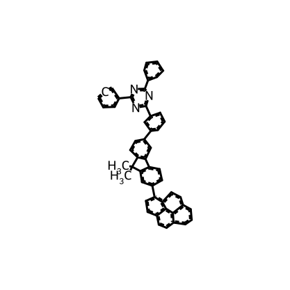 CC1(C)c2ccc(-c3cccc(-c4nc(-c5ccccc5)nc(-c5ccccc5)n4)c3)cc2-c2ccc(-c3ccc4ccc5cccc6ccc3c4c56)cc21